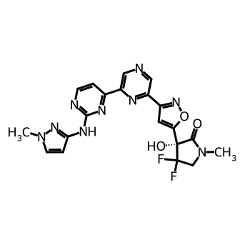 CN1CC(F)(F)[C@@](O)(c2cc(-c3cncc(-c4ccnc(Nc5ccn(C)n5)n4)n3)no2)C1=O